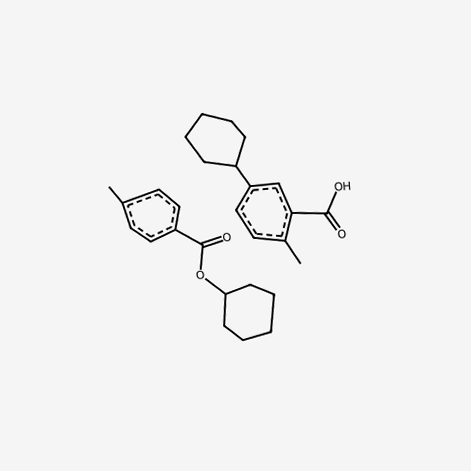 Cc1ccc(C(=O)OC2CCCCC2)cc1.Cc1ccc(C2CCCCC2)cc1C(=O)O